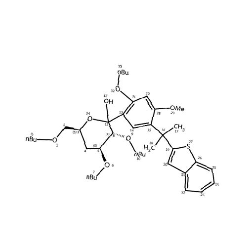 CCCCOC[C@@H]1C[C@H](OCCCC)[C@@H](OCCCC)C(O)(c2cc(C(C)(C)c3cc4ccccc4s3)c(OC)cc2OCCCC)O1